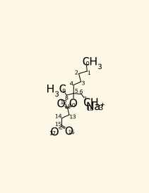 CCCCCC(CC)(CC)OC(=O)CCC(=O)[O-].[Na+]